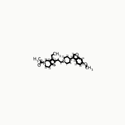 CCc1c(CCN2CCC(c3coc4cc(OC)ccc34)CC2)sc2c1CN(C(C)=O)CC2